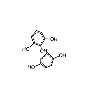 Oc1ccc(O)cc1.Oc1cccc(O)c1O